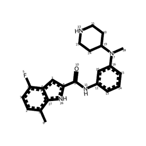 Cc1ccc(F)c2cc(C(=O)Nc3cccc(N(C)C4CCNCC4)c3)[nH]c12